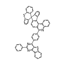 c1ccc(-c2nc(-c3ccc(-c4nc5ccccc5c5c6c(ccc45)C4(c5ccccc5Sc5ccccc54)c4ccccc4-6)cc3)c3sc4ccccc4c3n2)cc1